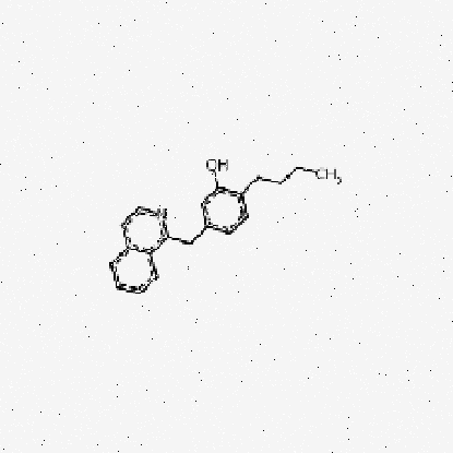 CCCCc1ccc(Cc2nccc3ccccc23)cc1O